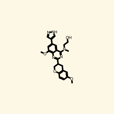 COc1ccc2c(c1)CC(c1nc(N(C)CCO)c3cc(-c4cn[nH]c4)cc(OC)c3n1)CO2